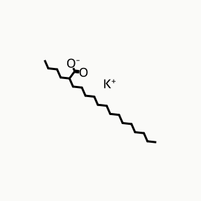 CCCCCCCCCCCCCCC(CCCC)C(=O)[O-].[K+]